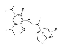 COc1c(C(C)C)cc(C(C)C)c(F)c1OCC(C)C1=C/CC/C(F)=C/C(F)=C\1